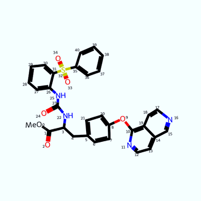 COC(=O)C(Cc1ccc(Oc2nccc3cnccc23)cc1)NC(=O)Nc1ccccc1S(=O)(=O)c1ccccc1